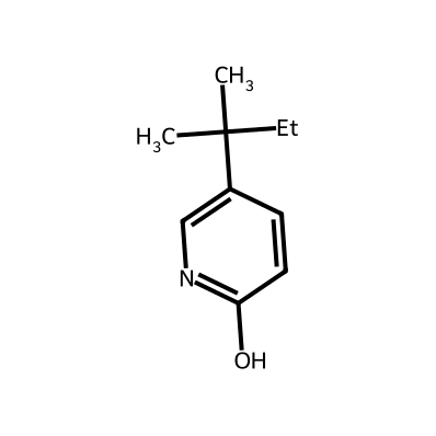 CCC(C)(C)c1ccc(O)nc1